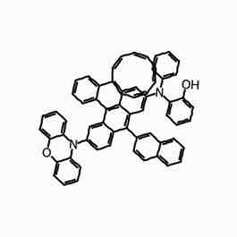 Oc1ccccc1N(c1ccccc1)c1ccc2c(-c3ccccc3-c3ccccccccc3)c3cc(N4c5ccccc5Oc5ccccc54)ccc3c(-c3ccc4ccccc4c3)c2c1